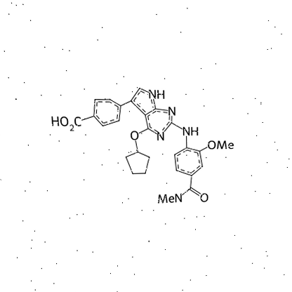 CNC(=O)c1ccc(Nc2nc(OC3CCCC3)c3c(-c4ccc(C(=O)O)cc4)c[nH]c3n2)c(OC)c1